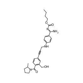 CCCCOC(=O)N=C(N)c1ccc(NCC#Cc2ccc(C(=O)N3CCCC3C)c(CO)c2)cc1